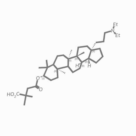 CCN(CC)CCC[C@]12CCC[C@@H]1[C@H]1CCC3[C@@]4(C)CC[C@H](OC(=O)CC(C)(C)C(=O)O)C(C)(C)C4CC[C@@]3(C)[C@]1(C)CC2